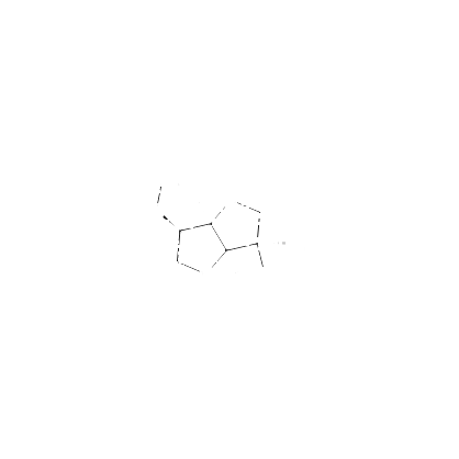 CO[C@@H]1CO[C@H]2[C@@H]1OC[C@@]2(C)O